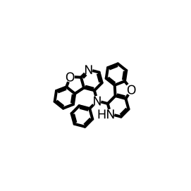 C1=Cc2oc3ccccc3c2C(N(c2ccccc2)c2ccnc3oc4ccccc4c23)N1